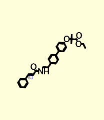 CCOC(=O)C(C)(C)Oc1ccc(-c2ccc(CCNC(=O)/C=C/c3ccccc3)cc2)cc1